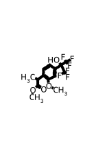 COC(=O)C(C)c1ccc(C(O)(C(F)(F)F)C(F)(F)F)cc1OC